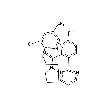 Cc1ccc(-c2ncccn2)c(C(=O)N2C3CCC2C(Nc2ncc(C(F)(F)F)cc2Cl)C3)n1